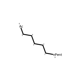 CCCCCCCCC[CH]C(C)=O